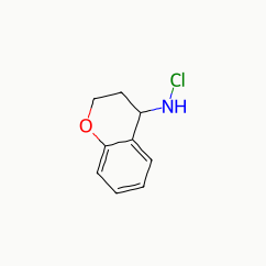 ClNC1CCOc2ccccc21